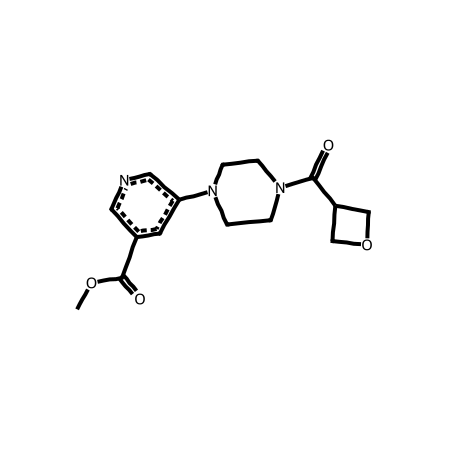 COC(=O)c1cncc(N2CCN(C(=O)C3COC3)CC2)c1